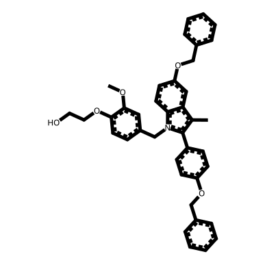 COc1cc(Cn2c(-c3ccc(OCc4ccccc4)cc3)c(C)c3cc(OCc4ccccc4)ccc32)ccc1OCCO